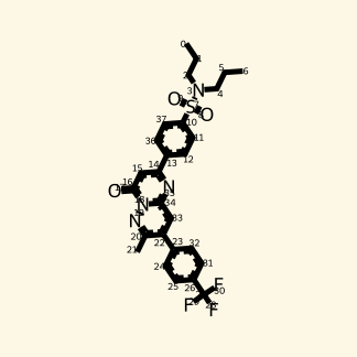 CCCN(CCC)S(=O)(=O)c1ccc(-c2cc(=O)n3nc(C)c(-c4ccc(C(F)(F)F)cc4)cc3n2)cc1